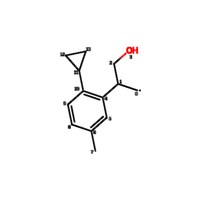 [CH2]C(CO)c1cc(C)ccc1C1CC1